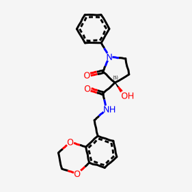 O=C(NCc1cccc2c1OCCO2)[C@@]1(O)CCN(c2ccccc2)C1=O